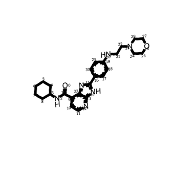 O=C(NC1CCCCC1)c1ccnc2[nH]c(-c3ccc(NCCN4CCOCC4)cc3)nc12